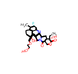 CC[C@@]1(O)C(=O)OCc2c1cc1n(c2=O)Cc2c-1nc1cc(F)c(C)c3c1c2C(O)(COCCO)CC3